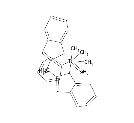 CC1=Cc2ccccc2[CH]1[Ti]([CH3])([CH3])([CH3])(=[SiH2])([c]1ccccc1)[CH]1C(C)=Cc2ccccc21